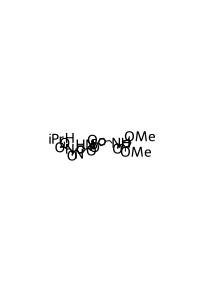 COc1ccc(OC)c(C(=O)NCCc2ccc(S(=O)(=O)NC(=O)c3ccc(C(=O)NCC(=O)OC(C)C)nc3)cc2)c1